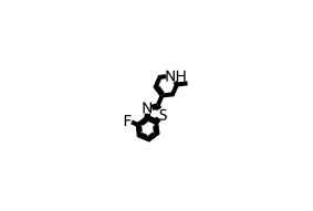 CC1CC(c2nc3c(F)cccc3s2)=CCN1